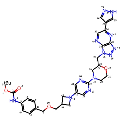 CC(C)(C)OC(=O)Nc1ccc(COCC2CN(c3cnc(N4CCO[C@H](Cn5nnc6nc(-c7cn[nH]c7)cnc65)C4)nc3)C2)cc1